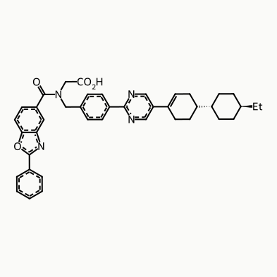 CC[C@H]1CC[C@H](C2CC=C(c3cnc(-c4ccc(CN(CC(=O)O)C(=O)c5ccc6oc(-c7ccccc7)nc6c5)cc4)nc3)CC2)CC1